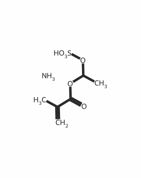 C=C(C)C(=O)OC(C)OS(=O)(=O)O.N